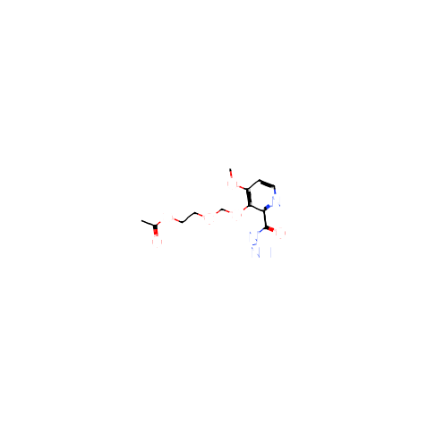 COc1ccnc(C(=O)N=N)c1OCOCCOC(C)=O